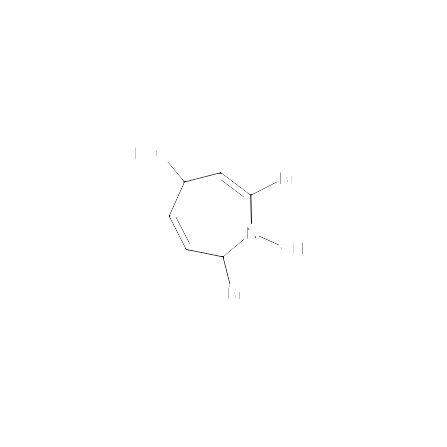 CC1C=CC(Br)N(C)C(Br)=C1